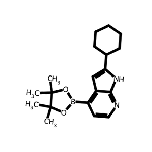 CC1(C)OB(c2ccnc3[nH]c(C4CCCCC4)cc23)OC1(C)C